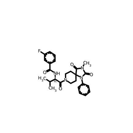 CC(C)[C@@H](NC(=O)c1cccc(F)c1)C(=O)N1CCC2(CC1)C(=O)N(C)C(=O)N2c1ccccc1